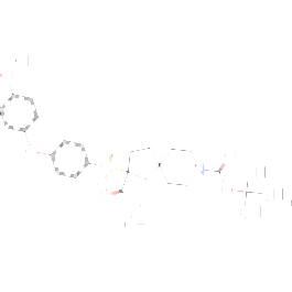 COC(=O)C1(S(=O)(=O)c2ccc(Oc3ccc(OC)cc3)cc2)CCC2(CCN(C(=O)OC(C)(C)C)CC2)C1